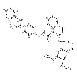 COc1cc2nccc(Oc3ccc4ccccc4c3C(=O)NCc3ccc(C(=O)Nc4ccccc4N)cn3)c2cc1OC